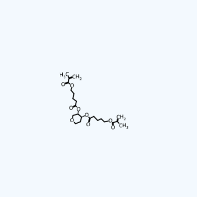 C=C(C)C(=O)OCCCCC(=O)O[C@H]1CCOC[C@H]1OC(=O)CCCCOC(=O)C(=C)C